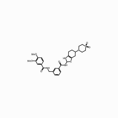 COc1ccc(C(=O)NCc2cccc(C(=O)NC3NC4=C(CC(N5CCS(=O)(=O)CC5)CC4)S3)c2)cc1OC